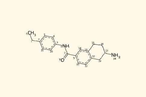 CCc1ccc(NC(=O)c2ccc3c(c2)CCC(N)C3)cc1